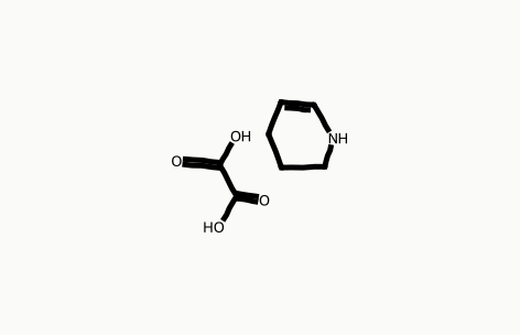 C1=CNCCC1.O=C(O)C(=O)O